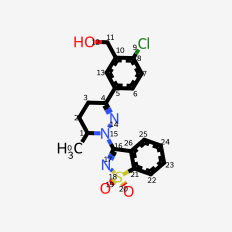 CC1CCC(c2ccc(Cl)c(CO)c2)=NN1C1=NS(=O)(=O)c2ccccc21